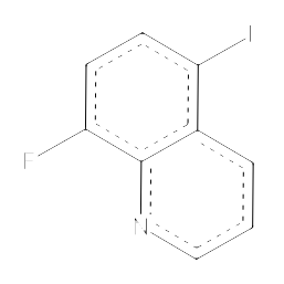 Fc1[c]cc(F)c2ncccc12